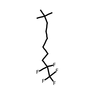 CC(C)(C)CCCCCCC(F)(F)C(F)(F)F